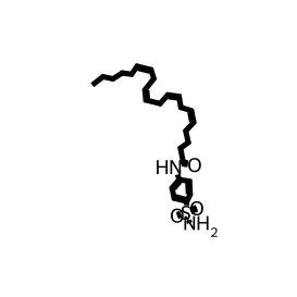 CCCCC/C=C\C/C=C\C/C=C\C/C=C\CCCC(=O)Nc1ccc(S(N)(=O)=O)cc1